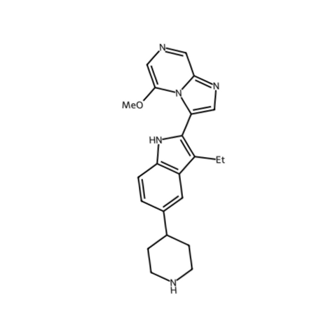 CCc1c(-c2cnc3cncc(OC)n23)[nH]c2ccc(C3CCNCC3)cc12